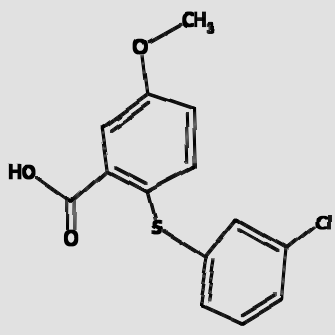 COc1ccc(Sc2cccc(Cl)c2)c(C(=O)O)c1